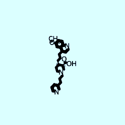 COc1ccc2nccc(CCC[C@@H]3CCN(CCCc4cccnc4)C[C@@H]3C(=O)O)c2c1